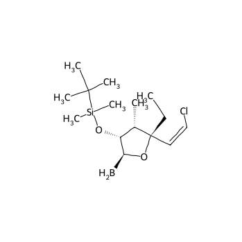 B[C@@H]1O[C@](/C=C\Cl)(CC)[C@@H](C)[C@H]1O[Si](C)(C)C(C)(C)C